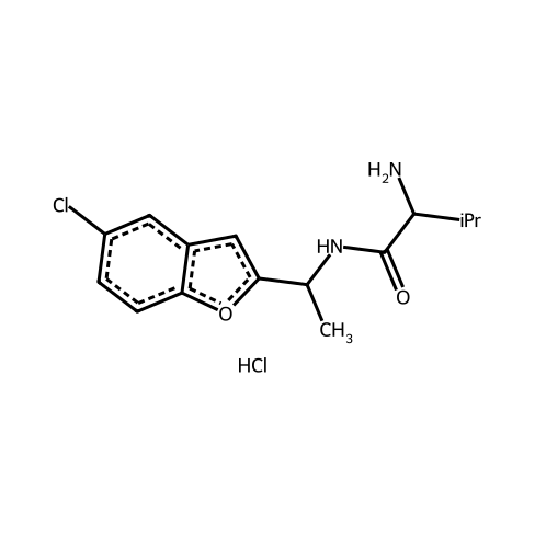 CC(NC(=O)C(N)C(C)C)c1cc2cc(Cl)ccc2o1.Cl